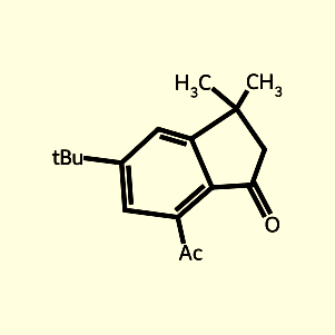 CC(=O)c1cc(C(C)(C)C)cc2c1C(=O)CC2(C)C